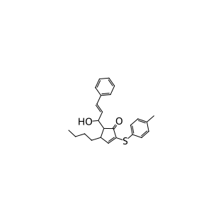 CCCCC1C=C(Sc2ccc(C)cc2)C(=O)C1C(O)C=Cc1ccccc1